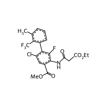 CCOC(=O)CC(=O)Nc1c(C(=O)OC)cc(Cl)c(-c2cccc(C)c2C(F)(F)F)c1F